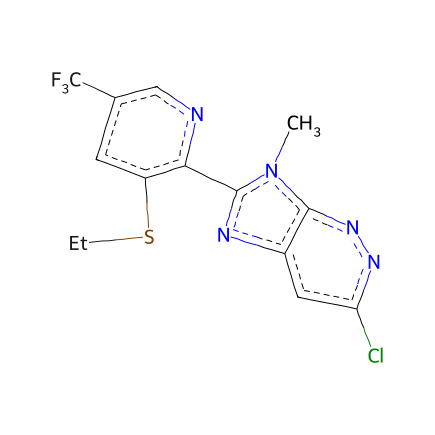 CCSc1cc(C(F)(F)F)cnc1-c1nc2cc(Cl)nnc2n1C